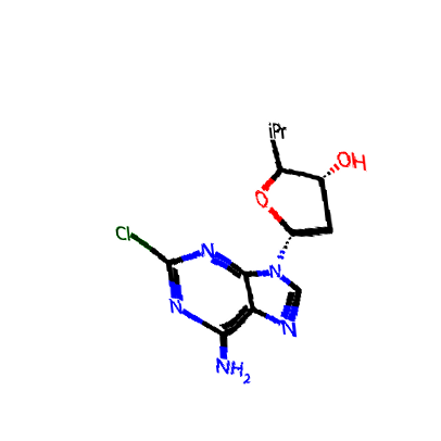 CC(C)C1O[C@@H](n2cnc3c(N)nc(Cl)nc32)C[C@H]1O